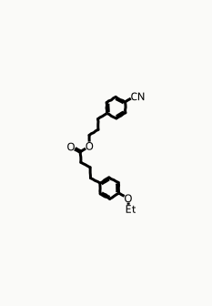 CCOc1ccc(CCCC(=O)OCCCc2ccc(C#N)cc2)cc1